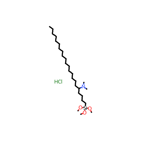 CCCCCCCCCCCCCCCCCC(CCCC[Si](OC)(OC)OC)N(C)C.Cl